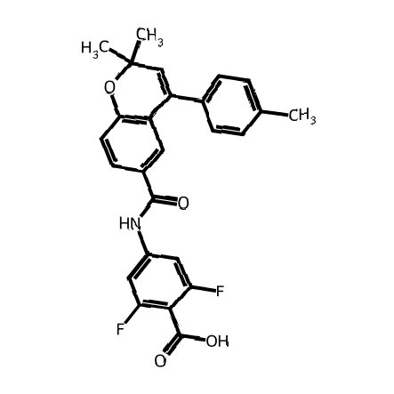 Cc1ccc(C2=CC(C)(C)Oc3ccc(C(=O)Nc4cc(F)c(C(=O)O)c(F)c4)cc32)cc1